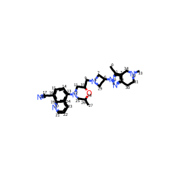 Cc1c2c(nn1C1CN(CC3CN(c4ccc(C#N)c5ncccc45)CC(C)O3)C1)CCN(C)C2